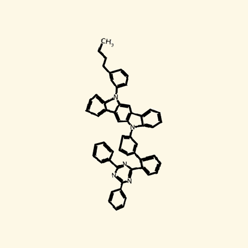 CCCCc1cccc(-n2c3ccccc3c3cc4c(cc32)c2ccccc2n4-c2cccc(-c3ccccc3-c3nc(-c4ccccc4)nc(-c4ccccc4)n3)c2)c1